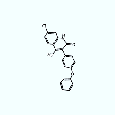 O=c1[nH]c2cc(Cl)ccc2c(O)c1-c1ccc(Oc2ccccc2)cc1